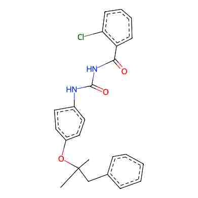 CC(C)(Cc1ccccc1)Oc1ccc(NC(=O)NC(=O)c2ccccc2Cl)cc1